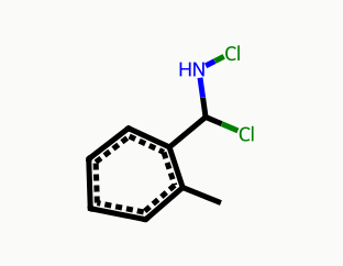 Cc1ccccc1C(Cl)NCl